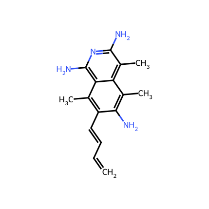 C=C/C=C/c1c(N)c(C)c2c(C)c(N)nc(N)c2c1C